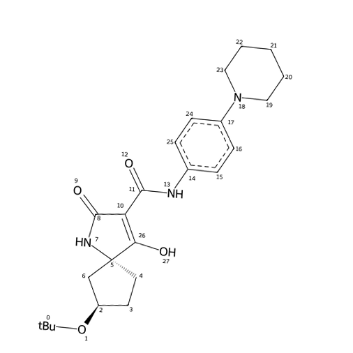 CC(C)(C)O[C@@H]1CC[C@]2(C1)NC(=O)C(C(=O)Nc1ccc(N3CCCCC3)cc1)=C2O